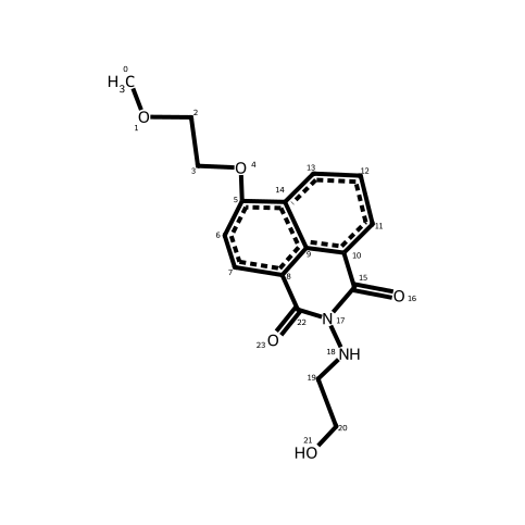 COCCOc1ccc2c3c(cccc13)C(=O)N(NCCO)C2=O